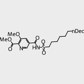 CCCCCCCCCCCCCCCCS(=O)(=O)NC(=O)c1cnc(C(=O)OC)c(OC)c1